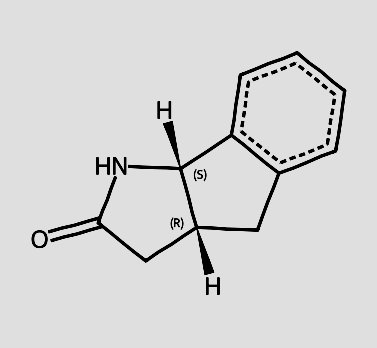 O=C1C[C@H]2Cc3ccccc3[C@H]2N1